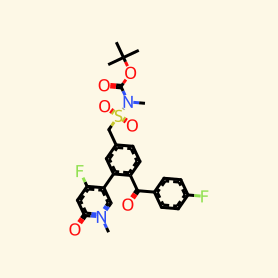 CN(C(=O)OC(C)(C)C)S(=O)(=O)Cc1ccc(C(=O)c2ccc(F)cc2)c(-c2cn(C)c(=O)cc2F)c1